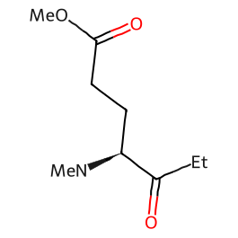 CCC(=O)[C@H](CCC(=O)OC)NC